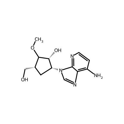 COC1[C@@H](CO)C[C@@H](n2cnc3c(N)ccnc32)[C@H]1O